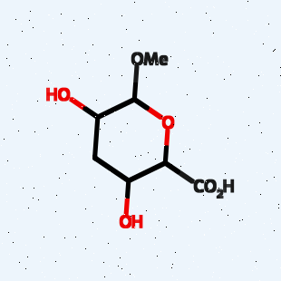 COC1OC(C(=O)O)C(O)CC1O